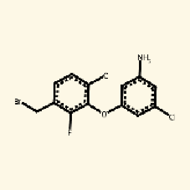 Nc1cc(Cl)cc(Oc2c(Cl)ccc(CBr)c2F)c1